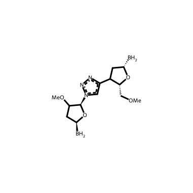 B[C@H]1CC(c2cn([C@H]3O[C@@H](B)CC3OC)nn2)[C@@H](COC)O1